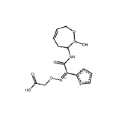 O=C(O)CO/N=C(\C(=O)NC1CC=CCOB1O)c1cccs1